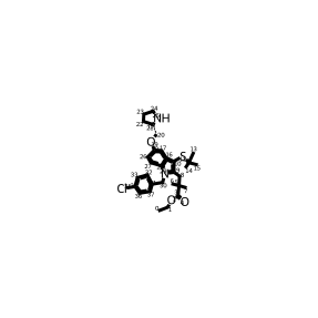 CCOC(=O)C(C)(C)Cc1c(SC(C)(C)C)c2cc(OC[C@@H]3CCCN3)ccc2n1Cc1ccc(Cl)cc1